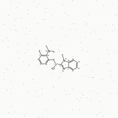 Cc1cccc(C[S+]([O-])c2nc3ccccc3n2C)c1N(C)C